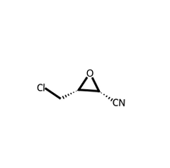 N#C[C@H]1O[C@H]1CCl